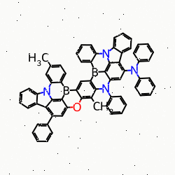 Cc1ccc2c(c1)-n1c3ccccc3c3c(-c4ccccc4)cc4c(c31)B2c1cc2c(c(C)c1O4)N(c1ccccc1)c1cc(N(c3ccccc3)c3ccccc3)c3c4ccccc4n4c3c1B2c1ccccc1-4